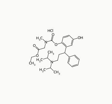 CCOC(=O)CN(C)C(=O)Oc1ccc(O)cc1C(CCN(C(C)C)C(C)C)c1ccccc1.Cl